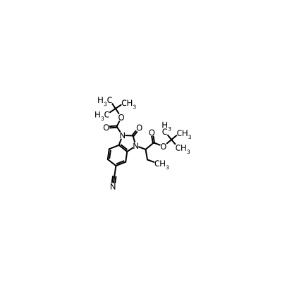 CCC(C(=O)OC(C)(C)C)n1c(=O)n(C(=O)OC(C)(C)C)c2ccc(C#N)cc21